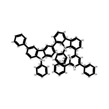 c1ccc(-c2ccc3c(c2)c2cc(-c4cccc5c6cccc(-c7cc(-c8ccccc8)nc(-c8ccccc8)n7)c6n(-c6ccccc6)c45)ccc2n3-c2ccccc2)cc1